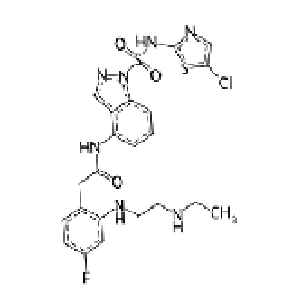 CCNCCNc1cc(F)ccc1CC(=O)Nc1cccc2c1cnn2S(=O)(=O)Nc1ncc(Cl)s1